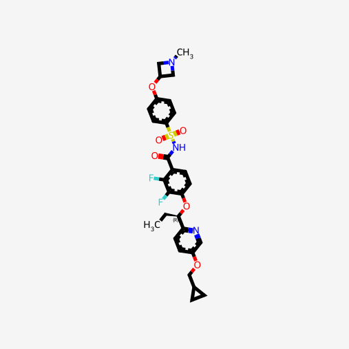 CC[C@@H](Oc1ccc(C(=O)NS(=O)(=O)c2ccc(OC3CN(C)C3)cc2)c(F)c1F)c1ccc(OCC2CC2)cn1